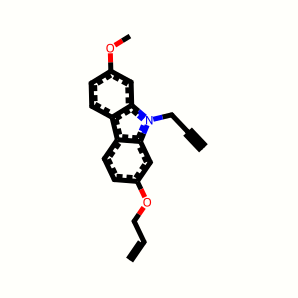 C#CCn1c2cc(OC)ccc2c2ccc(OCC=C)cc21